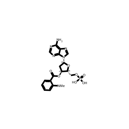 CNc1ccccc1C(=O)O[C@H]1C[C@H](n2cnc3c(N)ncnc32)O[C@@H]1COP(=O)(O)O